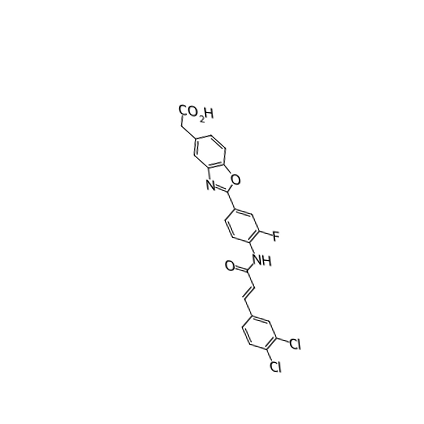 O=C(O)Cc1ccc2oc(-c3ccc(NC(=O)C=Cc4ccc(Cl)c(Cl)c4)c(F)c3)nc2c1